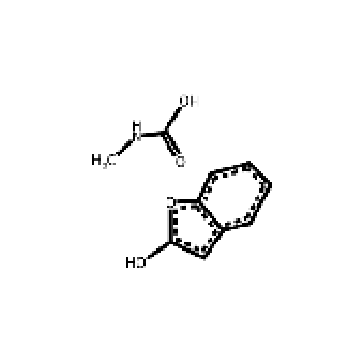 CNC(=O)O.Oc1cc2ccccc2o1